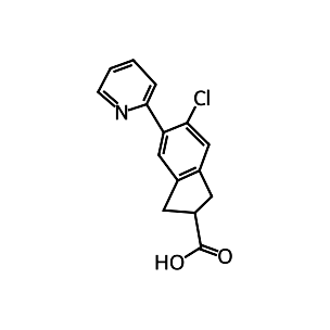 O=C(O)C1Cc2cc(Cl)c(-c3ccccn3)cc2C1